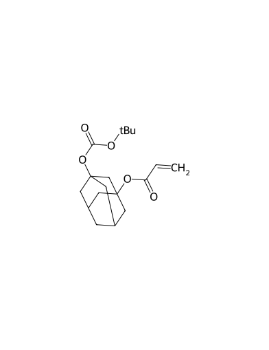 C=CC(=O)OC12CC3CC(C1)CC(OC(=O)OC(C)(C)C)(C3)C2